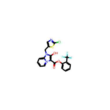 O=C(Oc1ccccc1C(F)(F)F)c1c(O)n(Cc2cnc(Cl)s2)c2cccc[n+]12